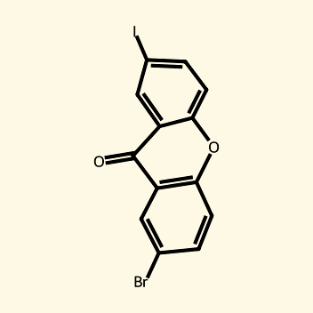 O=c1c2cc(Br)ccc2oc2ccc(I)cc12